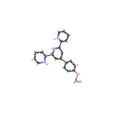 CCCCCCCCOc1ccc(-c2cc(-c3ccccn3)nc(-c3ccccn3)c2)cc1